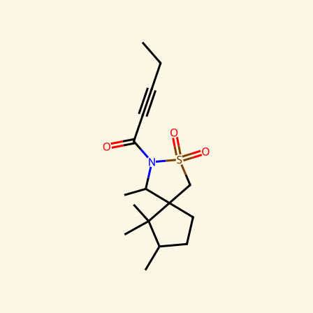 CCC#CC(=O)N1C(C)C2(CCC(C)C2(C)C)CS1(=O)=O